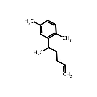 C=CCCC(C)c1cc(C)ccc1C